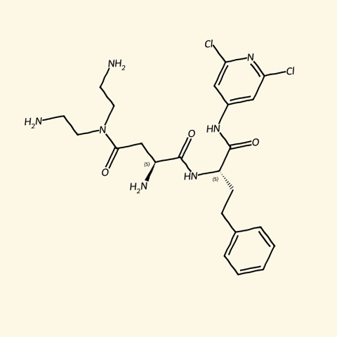 NCCN(CCN)C(=O)C[C@H](N)C(=O)N[C@@H](CCc1ccccc1)C(=O)Nc1cc(Cl)nc(Cl)c1